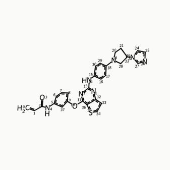 C=CC(=O)Nc1cccc(Oc2nc(Nc3ccc(N4CC[C@@H](n5ccnc5)C4)cc3)nc3ccsc23)c1